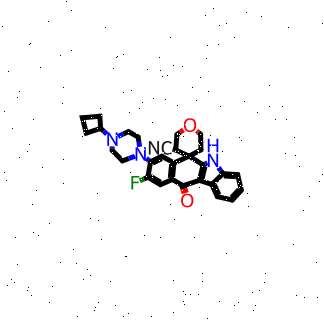 N#CC1COCCC12c1cc(N3CCN(C4CCC4)CC3)c(F)cc1C(=O)c1c2[nH]c2ccccc12